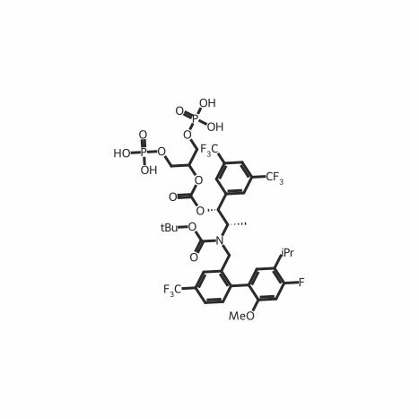 COc1cc(F)c(C(C)C)cc1-c1ccc(C(F)(F)F)cc1CN(C(=O)OC(C)(C)C)[C@@H](C)[C@H](OC(=O)OC(COP(=O)(O)O)COP(=O)(O)O)c1cc(C(F)(F)F)cc(C(F)(F)F)c1